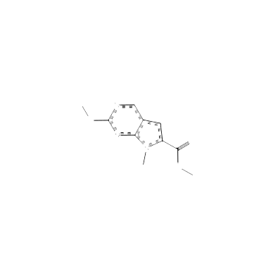 COC(=O)c1cc2cnc(SC)nc2n1C